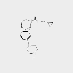 O=C(OCC1CC1)N1CCC2CC1c1cc(N3CCNCC3)ccc12